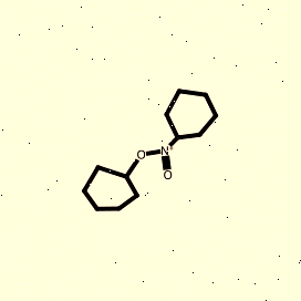 O=[N+](OC1CCCCC1)C1CCCCC1